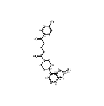 CCc1ccc(C(=O)CCCC(=O)N2CCN(c3ncnc4sc(CC)cc34)CC2)cc1